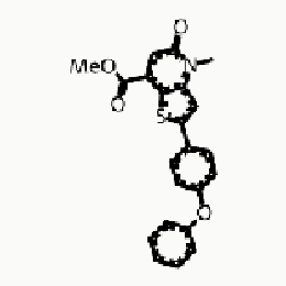 COC(=O)c1cc(=O)n(C)c2cc(-c3ccc(Oc4ccccc4)cc3)sc12